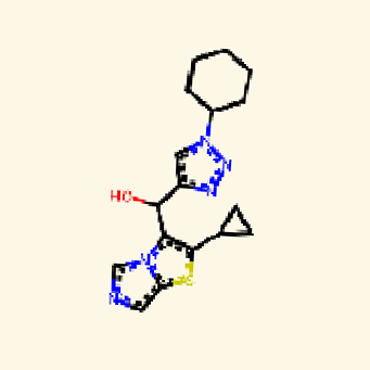 OC(c1cn(C2CCCCC2)nn1)c1c(C2CC2)sc2cncn12